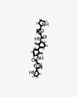 Cc1c(NC(=O)c2nnc(C3CCCN3)o2)cccc1-c1cccc(NC(=O)c2nnc(C3CCCN3)o2)c1C